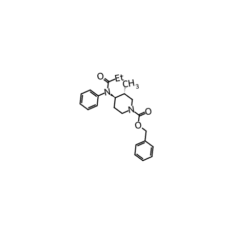 CCC(=O)N(c1ccccc1)[C@@H]1CCN(C(=O)OCc2ccccc2)C[C@H]1C